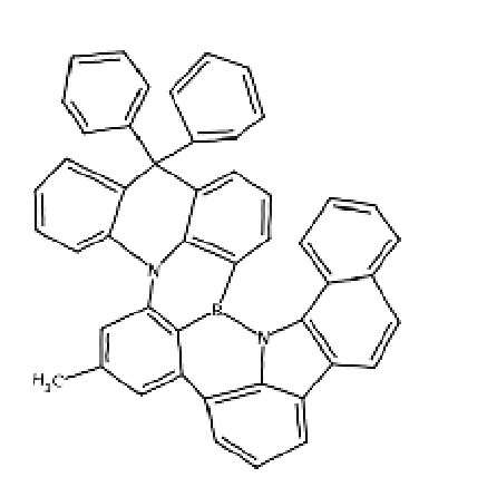 Cc1cc2c3c(c1)N1c4ccccc4C(c4ccccc4)(c4ccccc4)c4cccc(c41)B3n1c3c-2cccc3c2ccc3ccccc3c21